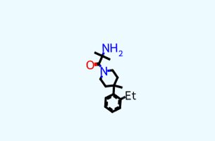 CCc1ccccc1C1(C)CCN(C(=O)C(C)(C)N)CC1